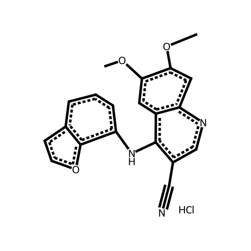 COc1cc2ncc(C#N)c(Nc3cccc4ccoc34)c2cc1OC.Cl